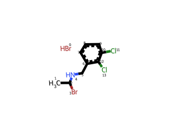 Br.CC(Br)NCc1cccc(Cl)c1Cl